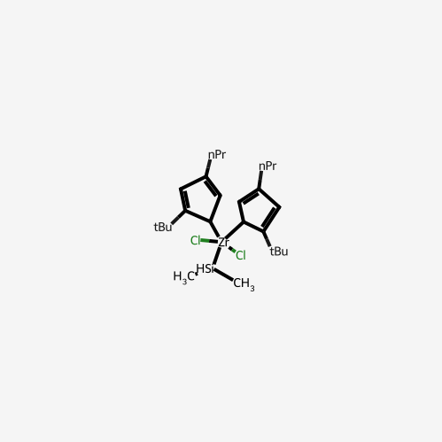 CCCC1=C[CH]([Zr]([Cl])([Cl])([CH]2C=C(CCC)C=C2C(C)(C)C)[SiH](C)C)C(C(C)(C)C)=C1